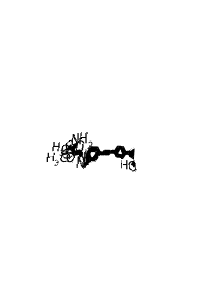 CC(CCn1ncc2cc(C#Cc3ccc(C4C[C@@H]4CO)cc3)ccc21)(C(N)=O)S(C)(=O)=O